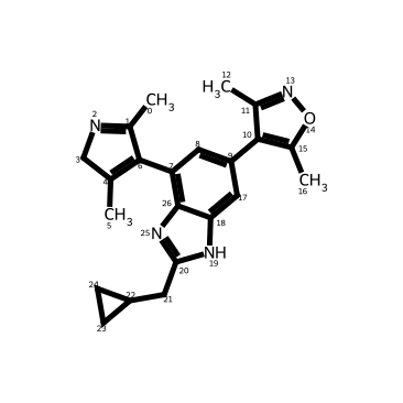 CC1=NCC(C)=C1c1cc(-c2c(C)noc2C)cc2[nH]c(CC3CC3)nc12